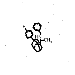 CC(NCc1ccccc1)C12CC3CC(CC(c4ccc(F)cc4)(C3)C1)C2